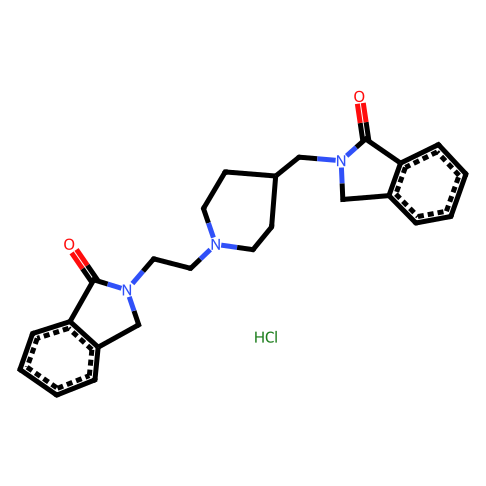 Cl.O=C1c2ccccc2CN1CCN1CCC(CN2Cc3ccccc3C2=O)CC1